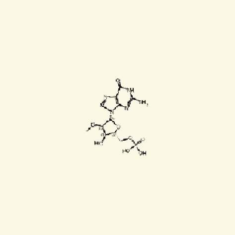 CO[C@@H]1[C@H](O)[C@@H](COP(=O)(O)O)O[C@H]1n1cnc2c(=O)[nH]c(N)nc21